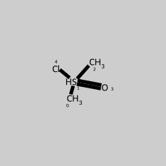 C[SH](C)(=O)Cl